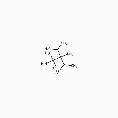 CC(C)C(N)(C(C)C)C(C)(C)N